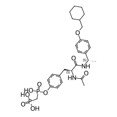 CC(=O)N[C@@H](Cc1ccc(OP(=O)(O)CP(=O)(O)O)cc1)C(=O)N[C@@H](C)c1ccc(OCC2CCCCC2)cc1